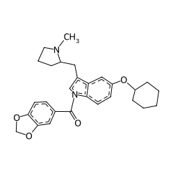 CN1CCCC1Cc1cn(C(=O)c2ccc3c(c2)OCO3)c2ccc(OC3CCCCC3)cc12